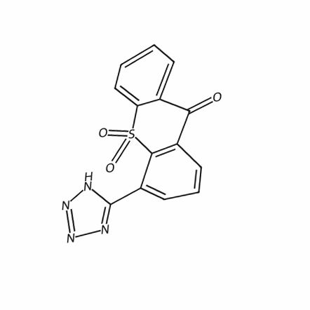 O=C1c2ccccc2S(=O)(=O)c2c1cccc2-c1nnn[nH]1